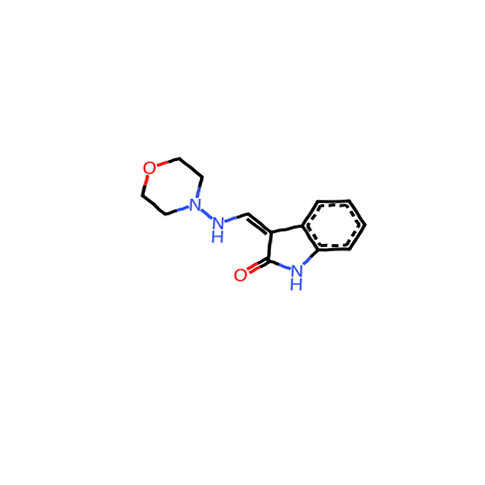 O=C1Nc2ccccc2C1=CNN1CCOCC1